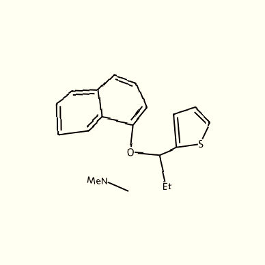 CCC(Oc1cccc2ccccc12)c1cccs1.CNC